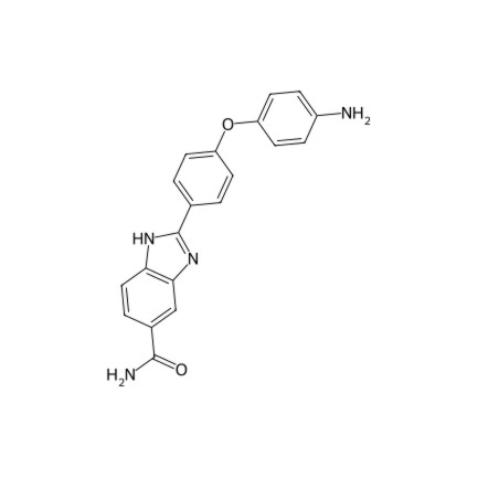 NC(=O)c1ccc2[nH]c(-c3ccc(Oc4ccc(N)cc4)cc3)nc2c1